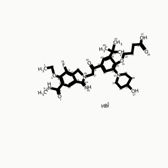 Br.CCOc1c(C(=O)NC)cc2c(c1F)CN(CC(=O)c1cc(N3CCC(O)CC3)c(OCCCC(=O)O)c(C(C)(C)C)c1)C2=N